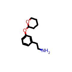 NCCc1cccc(OC2CCCCO2)c1